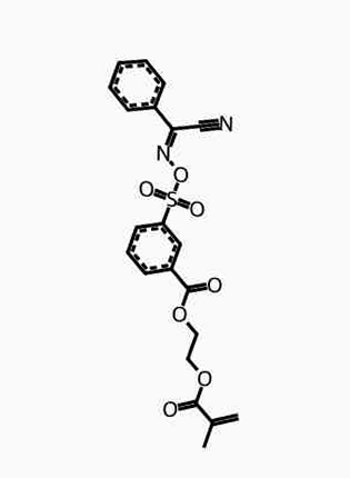 C=C(C)C(=O)OCCOC(=O)c1cccc(S(=O)(=O)ON=C(C#N)c2ccccc2)c1